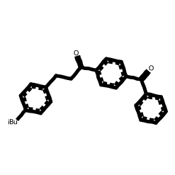 CCC(C)c1ccc(CCC(=O)c2ccc(C(=O)c3ccccc3)cc2)cc1